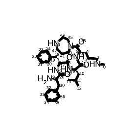 CNCCC[C@@H](NC(=O)[C@@H](CC(C)C)NC(=O)[C@@H](Cc1ccccc1)NC(=O)[C@H](N)Cc1ccccc1)C(=O)N1CCCNCC1